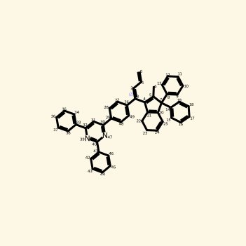 C=C/C=C(\C1=C(C)C(c2ccccc2)(c2ccccc2)C2=C1CCC=C2)c1ccc(-c2cc(-c3ccccc3)nc(-c3ccccc3)n2)cc1